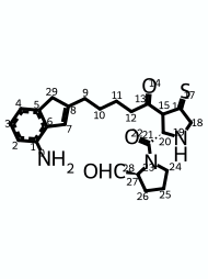 Nc1cccc2c1C=C(CCCCC(=O)C1C(=S)CN[C@@H]1C(=O)N1CCC[C@H]1C=O)C2